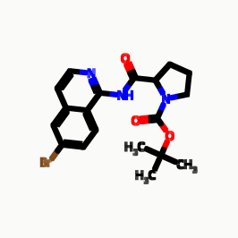 CC(C)(C)OC(=O)N1CCCC1C(=O)Nc1nccc2cc(Br)ccc12